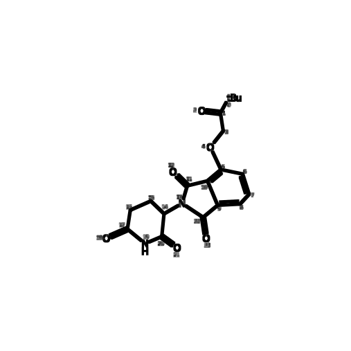 CC(C)(C)C(=O)COc1cccc2c1C(=O)N(C1CCC(=O)NC1=O)C2=O